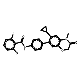 CN1C(=O)COc2cc(-c3ccc(NC(=O)c4c(F)cccc4F)cc3)c(C3CC3)cc21